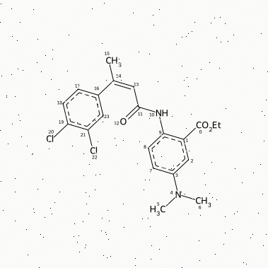 CCOC(=O)c1cc(N(C)C)ccc1NC(=O)/C=C(/C)c1ccc(Cl)c(Cl)c1